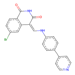 O=C1NC(=O)c2ccc(Br)cc2/C1=C/Nc1ccc(-c2ccncc2)cc1